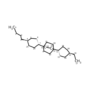 CCCC[C@H]1CC[C@H](C23CCC([C@H]4CC[C@H](CC)CC4)(CC2)CC3)CC1